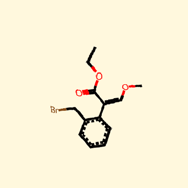 CCOC(=O)C(=COC)c1ccccc1CBr